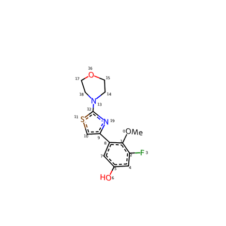 COc1c(F)cc(O)cc1-c1csc(N2CCOCC2)n1